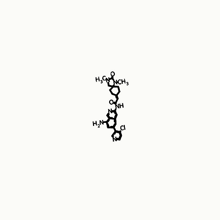 CN1CC2(CCC(=CC(=O)Nc3cc4cc(-c5cnccc5Cl)cc(N)c4cn3)CC2)N(C)C1=O